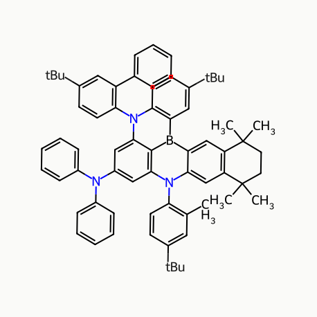 Cc1cc(C(C)(C)C)ccc1N1c2cc3c(cc2B2c4cc(C(C)(C)C)ccc4N(c4ccc(C(C)(C)C)cc4-c4ccccc4)c4cc(N(c5ccccc5)c5ccccc5)cc1c42)C(C)(C)CCC3(C)C